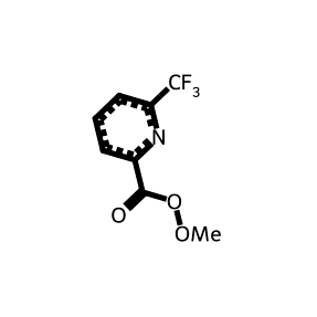 COOC(=O)c1cccc(C(F)(F)F)n1